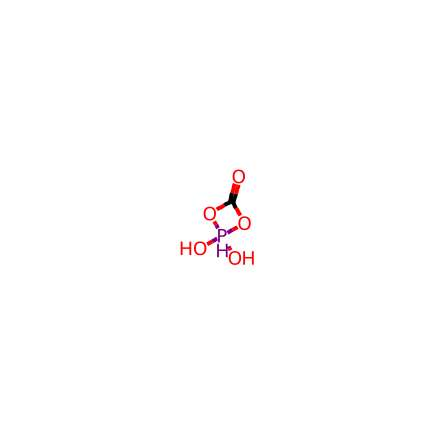 O=C1O[PH](O)(O)O1